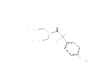 CCN(CC)C(=O)C(F)(F)c1ccc(C)cc1